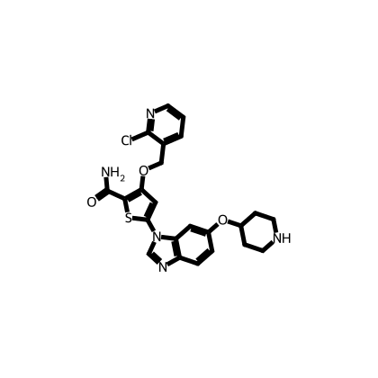 NC(=O)c1sc(-n2cnc3ccc(OC4CCNCC4)cc32)cc1OCc1cccnc1Cl